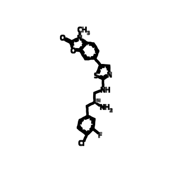 Cn1c(=O)oc2cc(-c3cnc(NC[C@@H](N)Cc4ccc(Cl)c(F)c4)s3)ccc21